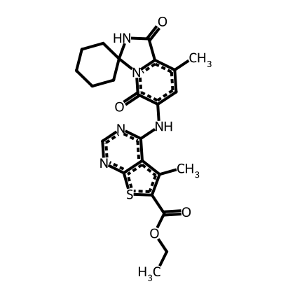 CCOC(=O)c1sc2ncnc(Nc3cc(C)c4n(c3=O)C3(CCCCC3)NC4=O)c2c1C